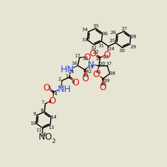 O=C(CNC(=O)OCc1ccc([N+](=O)[O-])cc1)N[C@H]1CON(C2(C(=O)OC(c3ccccc3)c3ccccc3)CCC(=O)O2)C1=O